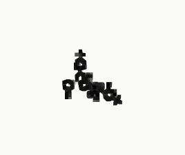 CC(C)(C)c1ccc(C(CC[C@H]2CCCNC2)Nc2cccc(S(=O)(=O)NC(=O)c3ccc(C(C)(C)C)nc3F)n2)nc1